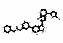 CC(=O)c1ccc(-c2ccnc3[nH]c(-c4n[nH]c5ncc(-c6cncc(CNCc7ccccc7)c6)cc45)cc23)s1